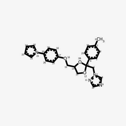 Cc1ccc(C2(Cn3cncn3)OCC(COc3ccc(-n4cccc4)cc3)O2)cc1